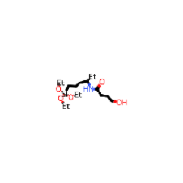 CCO[Si](CCCC(CC)NC(=O)CCCO)(OCC)OCC